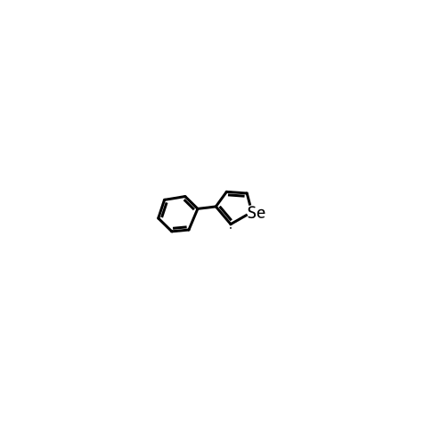 [c]1[se]ccc1-c1ccccc1